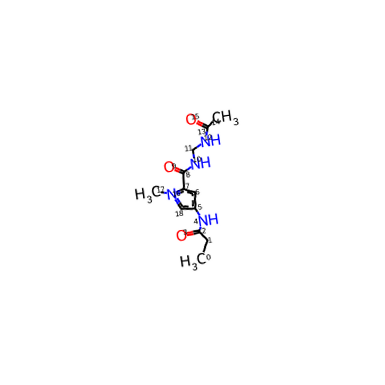 CCC(=O)Nc1cc(C(=O)NCNC(C)=O)n(C)c1